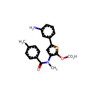 Cc1ccc(C(=O)N(C)c2cc(-c3cccc(N)c3)sc2OC(=O)O)cc1